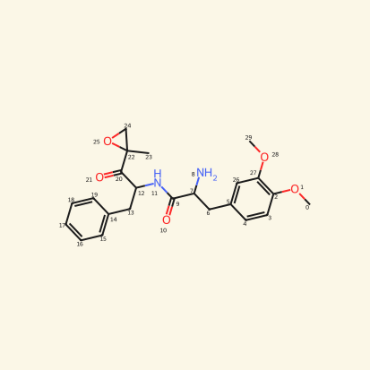 COc1ccc(CC(N)C(=O)NC(Cc2ccccc2)C(=O)C2(C)CO2)cc1OC